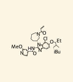 C=CC(=O)N1CCCC[C@@H](n2c(NC(=O)c3ccnc(OC)c3)nc3ccc(O[C@H](CC)C(C)C[C@@H](C)CC)c(Cl)c32)C1